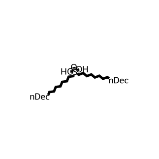 CCCCCCCCCCCCCCCCCCS(=O)(O)(O)CCCCCCCCCCCCCCCCCC